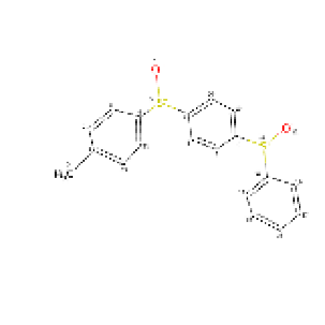 Cc1ccc([S+]([O-])c2ccc([S+]([O-])c3ccccc3)cc2)cc1